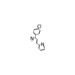 CN(C)C(C=Cc1ccccn1)c1ccc(Cl)cc1